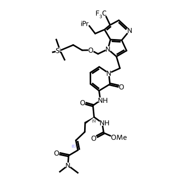 COC(=O)N[C@@H](CC/C=C/C(=O)N(C)C)C(=O)Nc1cccn(Cc2cc3ncc(C(F)(F)F)c(CC(C)C)c3n2COCC[Si](C)(C)C)c1=O